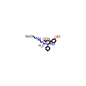 C=C1N(CCCNCCOC)C(=O)[C@]2(C)Cc3c([nH]c4ccc(OCC)cc34)[C@@H](c3ccccc3)N12